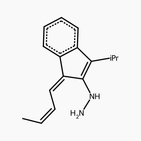 C/C=C\C=C1/C(NN)=C(C(C)C)c2ccccc21